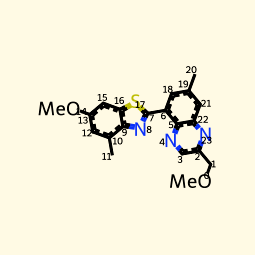 COCc1cnc2c(-c3nc4c(C)cc(OC)cc4s3)cc(C)cc2n1